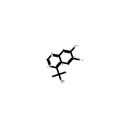 CC(C)(S)c1ncnc2cc(F)c(F)cc12